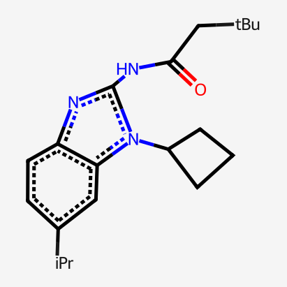 CC(C)c1ccc2nc(NC(=O)CC(C)(C)C)n(C3CCC3)c2c1